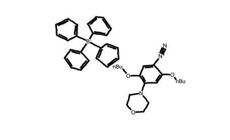 CCCCOc1cc(N2CCOCC2)c(OCCCC)cc1[N+]#N.c1ccc([B-](c2ccccc2)(c2ccccc2)c2ccccc2)cc1